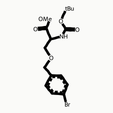 COC(=O)C(COCc1ccc(Br)cc1)NC(=O)OC(C)(C)C